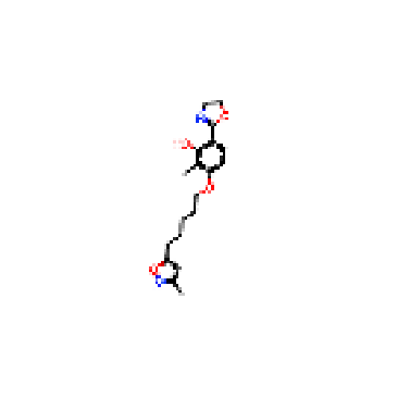 Cc1cc(CCCCCOc2ccc(C3=NCCO3)c(O)c2C)on1